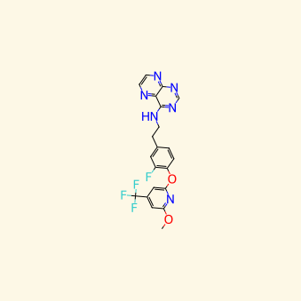 COc1cc(C(F)(F)F)cc(Oc2ccc(CCNc3ncnc4nccnc34)cc2F)n1